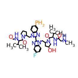 CNCC(=O)NC(C(=O)N1CC(O)CC1Cn1c(-c2nc3cc(P)ccc3n2CC2CCCN2C(=O)C(NC=O)C(C)C)nc2cc(F)ccc21)C(C)C